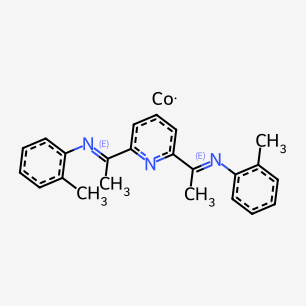 C/C(=N\c1ccccc1C)c1cccc(/C(C)=N/c2ccccc2C)n1.[Co]